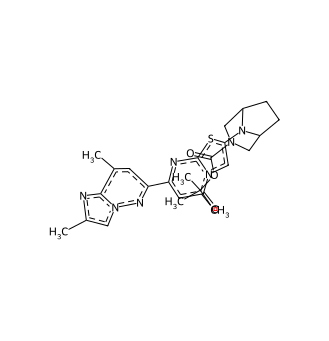 Cc1cn2nc(-c3cc(=O)n4cc(N5C6CCC5CN(C(=O)OC(C)(C)C)C6)sc4n3)cc(C)c2n1